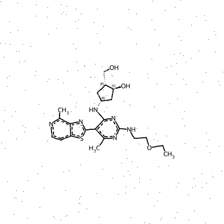 CCOCCNc1nc(C)c(-c2nc3c(C)nccc3s2)c(N[C@@H]2C[C@H](CO)[C@@H](O)C2)n1